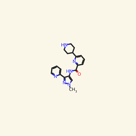 Cn1cc(NC(=O)c2cccc(C3CCNCC3)n2)c(-c2ccccn2)n1